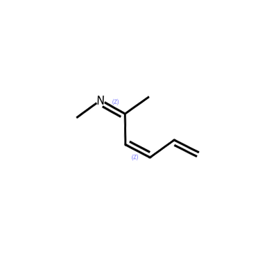 C=C/C=C\C(C)=N/C